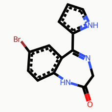 O=C1CN=C(c2ccc[nH]2)c2cc(Br)ccc2N1